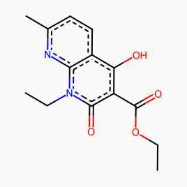 CCOC(=O)c1c(O)c2ccc(C)nc2n(CC)c1=O